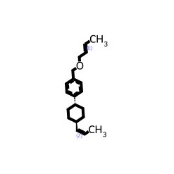 C/C=C\[C@H]1CC[C@H](c2ccc(COC/C=C/C)cc2)CC1